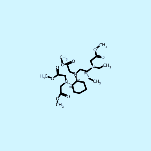 CC[C@H](CN(CC(=O)OC)[C@H]1CCCC[C@@H]1N(CC(=O)OC)CC(=O)OC)N(CC)CC(=O)OC